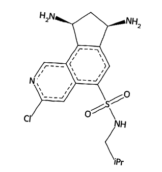 CC(C)CNS(=O)(=O)c1cc2c(c3cnc(Cl)cc13)[C@@H](N)C[C@H]2N